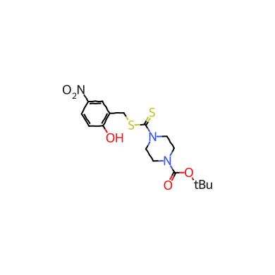 CC(C)(C)OC(=O)N1CCN(C(=S)SCc2cc([N+](=O)[O-])ccc2O)CC1